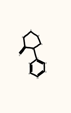 C=C1[CH]CCCC1c1[c]cccc1